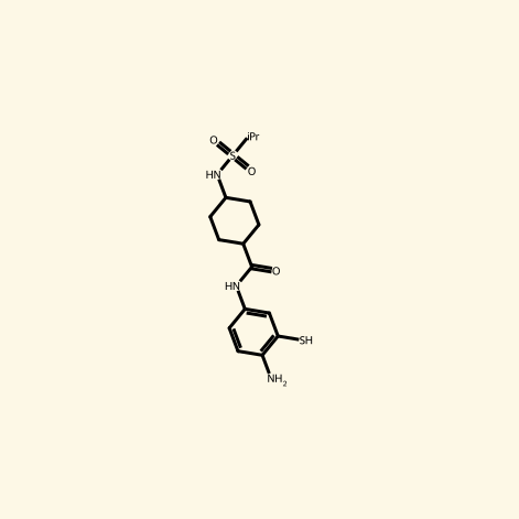 CC(C)S(=O)(=O)NC1CCC(C(=O)Nc2ccc(N)c(S)c2)CC1